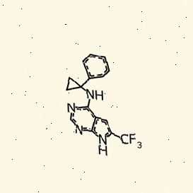 FC(F)(F)c1cc2c(NC3(c4ccccc4)CC3)ncnc2[nH]1